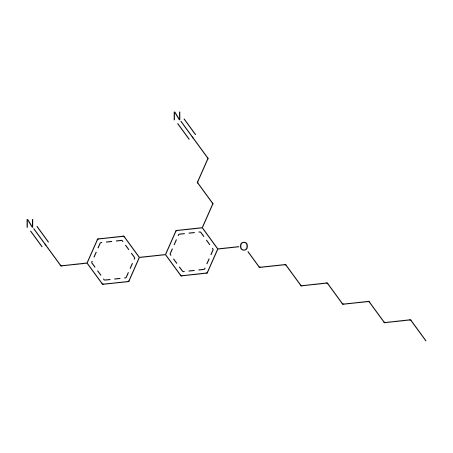 CCCCCCCCCOc1ccc(-c2ccc(CC#N)cc2)cc1CCCC#N